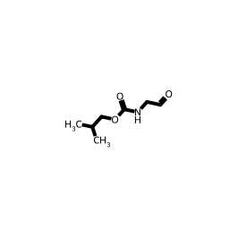 CC(C)COC(=O)NCC=O